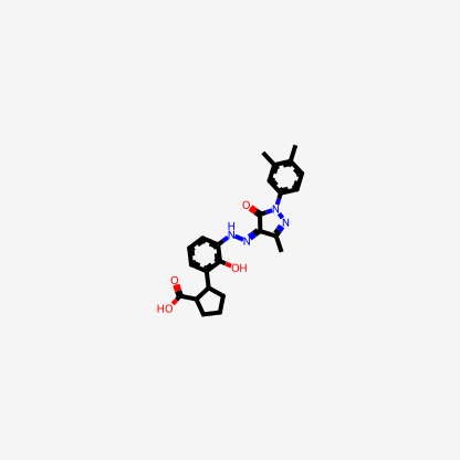 CC1=NN(c2ccc(C)c(C)c2)C(=O)C1=NNc1cccc(C2CCCC2C(=O)O)c1O